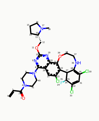 C=CC(=O)N1CCN(c2nc(OC[C@@H]3CCCN3C)nc3c4c(c(Cl)cc23)C2C(=C(Cl)C=C(Cl)[C@H]2F)NCCO4)CC1